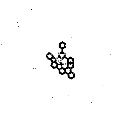 CC1(C)c2c(ccc3c4ccccc4c4ccccc4c23)-c2ccc3c4cccnc4n(-c4nc(-c5ccccc5)nc(-c5ccccc5)n4)c3c21